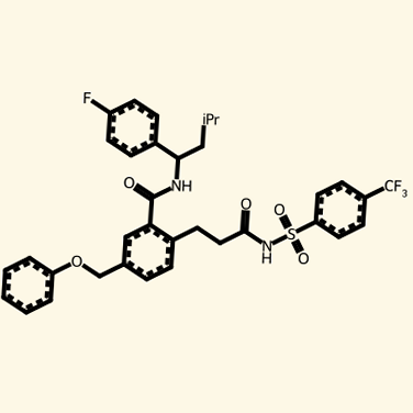 CC(C)CC(NC(=O)c1cc(COc2ccccc2)ccc1CCC(=O)NS(=O)(=O)c1ccc(C(F)(F)F)cc1)c1ccc(F)cc1